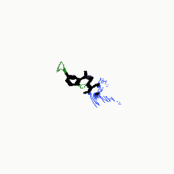 C/C(=C/Cc1c(C)nc(N)nc1N)c1cc(Cl)ccc1Cl